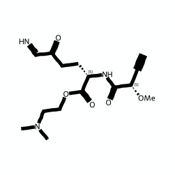 C#C[C@H](OC)C(=O)N[C@@H](CCC(=O)C=N)C(=O)OCCN(C)C